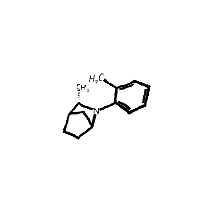 Cc1ccccc1N1C2CCC(C2)[C@@H]1C